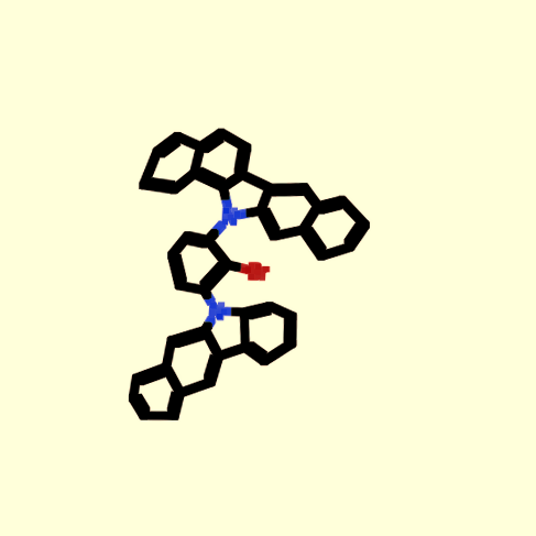 Brc1c(-n2c3ccccc3c3cc4ccccc4cc32)cccc1-n1c2cc3ccccc3cc2c2ccc3ccccc3c21